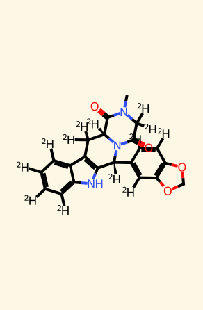 [2H]c1c([2H])c([C@]2([2H])c3[nH]c4c([2H])c([2H])c([2H])c([2H])c4c3C([2H])([2H])[C@]3([2H])C(=O)N(C)C([2H])([2H])C(=O)N23)c([2H])c2c1OCO2